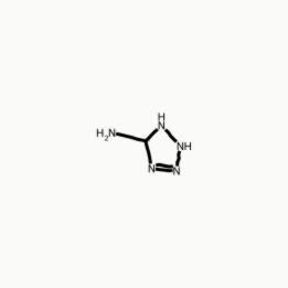 N[C]1N=NNN1